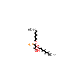 CCCCCCCCCCCCCCCCOC(P)C(CO)OCCCCCCCCCCCCCCCC